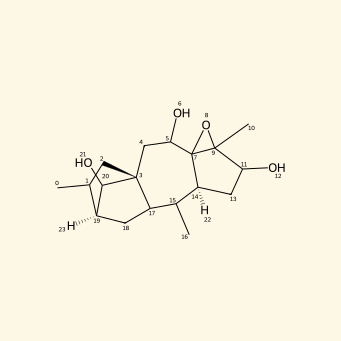 CC1C[C@@]23CC(O)C45OC4(C)C(O)C[C@H]5C(C)C2C[C@@H]1C3O